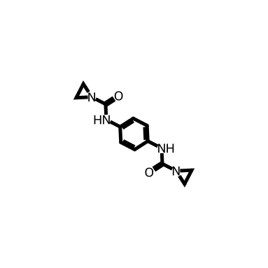 O=C(Nc1ccc(NC(=O)N2CC2)cc1)N1CC1